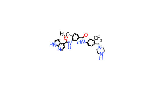 Cc1ccc(C(=O)Nc2ccc(CN3CCNCC3)c(C(F)(F)F)c2)cc1NC(=O)c1ccnc2[nH]ccc12